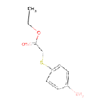 Bc1ccc(SCC(=O)OCC)cc1